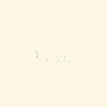 Cc1cnc(NC2CC3CC2N(C(=O)c2cccc(C)c2-n2nccn2)C3)cn1